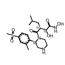 Cc1cc(S(C)(=O)=O)ccc1[C@@H]1CNCCN1C(=O)[C@@H](CC(C)C)[C@H](O)C(=O)NO